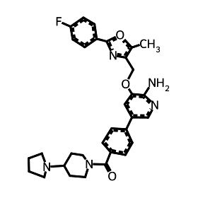 Cc1oc(-c2ccc(F)cc2)nc1COc1cc(-c2ccc(C(=O)N3CCC(N4CCCC4)CC3)cc2)cnc1N